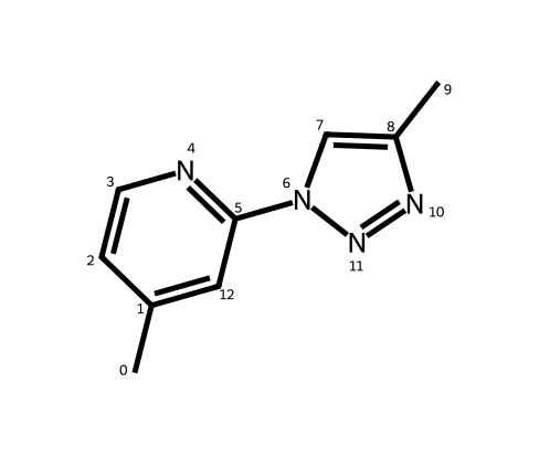 Cc1ccnc(-n2cc(C)nn2)c1